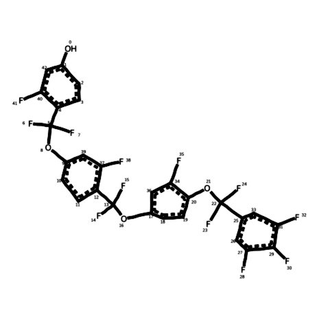 Oc1ccc(C(F)(F)Oc2ccc(C(F)(F)Oc3ccc(OC(F)(F)c4cc(F)c(F)c(F)c4)c(F)c3)c(F)c2)c(F)c1